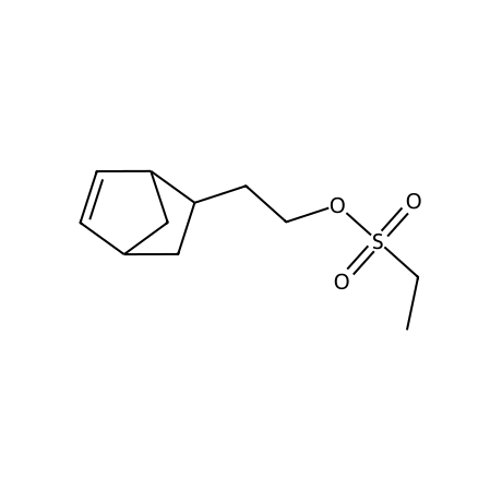 CCS(=O)(=O)OCCC1CC2C=CC1C2